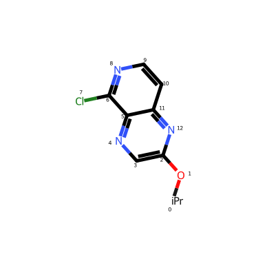 CC(C)Oc1cnc2c(Cl)nccc2n1